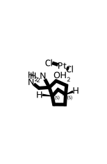 NCC1(N)CC[C@@H]2CC[C@H]1C2.O.[Cl][Pt][Cl]